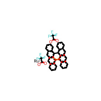 O=C([O-])C(F)(F)F.O=C([O-])C(F)(F)F.[Ru+2].c1ccc(P(c2ccccc2)c2ccc3ccccc3c2-c2c(P(c3ccccc3)c3ccccc3)ccc3ccccc23)cc1